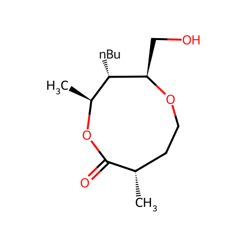 CCCC[C@H]1[C@H](C)OC(=O)[C@@H](C)CCO[C@@H]1CO